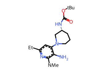 CCc1cc(N2CCC[C@@H](NC(=O)OC(C)(C)C)C2)c(N)c(NC)n1